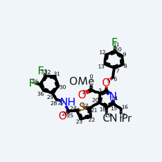 COC(=O)c1c(OCc2ccc(F)cc2)nc(CC(C)C)c(C#N)c1-c1ccc(C(=O)NCc2ccc(F)c(F)c2)s1